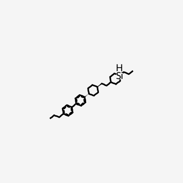 CCCc1ccc(-c2ccc([C@H]3CC[C@H](CCC4CC[SiH](CCC)CC4)CC3)cc2)cc1